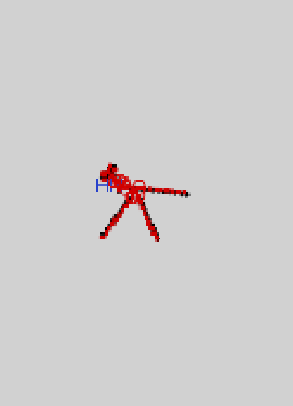 CCCCCCCCCCCCCCCCCCOc1cc(COC(=O)C(NC(=O)OCC2c3ccccc3-c3ccccc32)C(C)C)cc(OCCCCCCCCCCCCCCCCCC)c1OCCCCCCCCCCCCCCCCCC